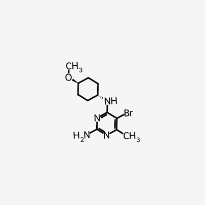 CO[C@H]1CC[C@H](Nc2nc(N)nc(C)c2Br)CC1